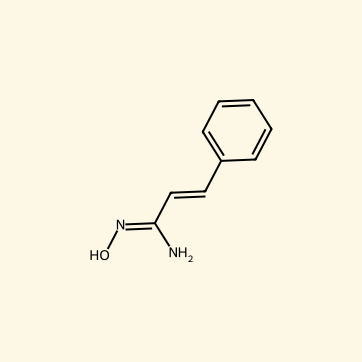 NC(/C=C/c1ccccc1)=N\O